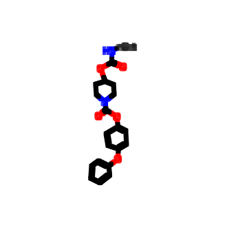 CCCCCCCCNC(=O)OC1CCN(C(=O)Oc2ccc(Oc3ccccc3)cc2)CC1